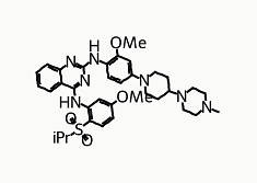 COc1ccc(S(=O)(=O)C(C)C)c(Nc2nc(Nc3ccc(N4CCC(N5CCN(C)CC5)CC4)cc3OC)nc3ccccc23)c1